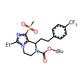 CCc1nc(S(C)(=O)=O)c2n1CCN(C(=O)OC(C)(C)C)C2CCc1ccc(C(F)(F)F)cc1